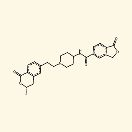 C[C@H]1Cc2cc(CCN3CCC(NC(=O)c4ccc5c(c4)COC5=O)CC3)ccc2C(=O)O1